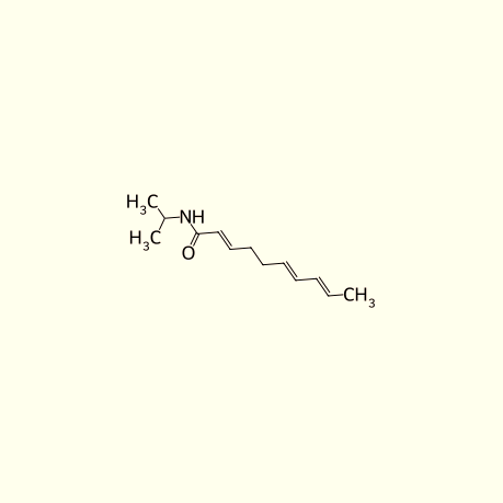 C/C=C/C=C/CC/C=C/C(=O)NC(C)C